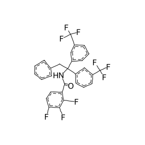 O=C(NC(Cc1ccccc1)(c1cccc(C(F)(F)F)c1)c1cccc(C(F)(F)F)c1)c1ccc(F)c(F)c1F